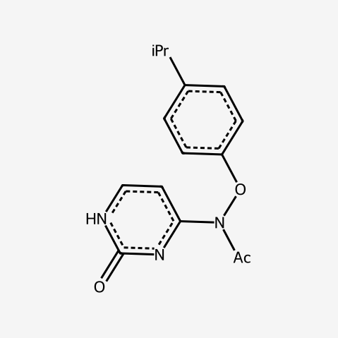 CC(=O)N(Oc1ccc(C(C)C)cc1)c1cc[nH]c(=O)n1